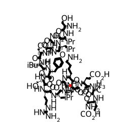 CC[C@H](C)[C@H](NC(=O)[C@H](CC(=O)O)NC(=O)[C@H](CC(N)=O)NC(=O)[C@H](CC(C)C)NC(=O)[C@@H](NC(=O)[C@@H](N)CO)C(C)C)C(=O)N[C@@H](Cc1ccccc1)C(=O)N[C@@H](CO)C(=O)N[C@@H](CCCNC(=N)N)C(=O)N[C@@H](CC(C)C)C(=O)N[C@@H](CC(=O)O)C(=O)N[C@@H](CCCCN)C(=O)N[C@H](C(=O)N[C@@H](CCC(=O)O)C(=O)N[C@@H](C)C(=O)N[C@@H](CCC(=O)O)C(N)=O)C(C)C